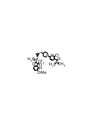 COc1cccc(C(O)(C(=O)N(C)C[C@@H]2C[C@@H]2CC2CCN(c3ccc(C(=O)N(C)C)c(Cl)n3)CC2)C(F)(F)F)c1